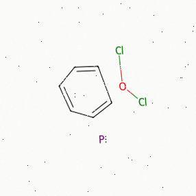 ClOCl.[P].c1ccccc1